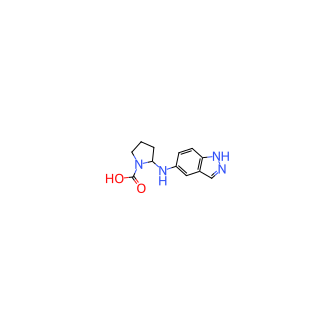 O=C(O)N1CCCC1Nc1ccc2[nH]ncc2c1